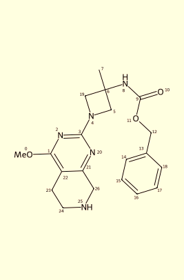 COc1nc(N2CC(C)(NC(=O)OCc3ccccc3)C2)nc2c1CCNC2